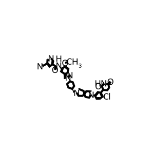 COc1cc2nn([C@H]3CC[C@H](CN4CCC5(CC4)CCN(c4ccc(Cl)c(C6CCC(=O)NC6=O)c4)CC5)CC3)cc2cc1NC(=O)c1cncc(C#N)c1